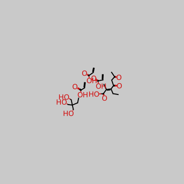 C=CC(=O)O.C=CC(=O)O.C=CC(=O)O.CCC(C(=O)CC(C)=O)=C(C)C(=O)O.CCC(CO)(CO)CO